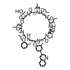 CC[C@H](C)[C@@H]1NC(=O)[C@@H]2CCCN2C(=O)[C@H](Cc2cccc(-c3cnc4ccccc4c3)c2)N(C)C(=O)[C@H](Cc2ccccc2)NC(=O)[C@H](C(C)C)N(C)C(=O)[C@@H]([C@@H](C)CC)OC(=O)[C@H](C(C)(C)O)N(C)C(=O)[C@H](CC(C)C)NC(=O)[C@H](C(C)C)N(C)C1=O